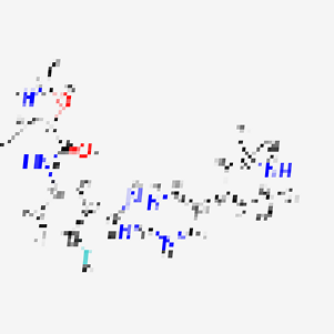 Cc1nc(C)c(C(=O)Nc2ccc(F)c(-c3nc4ncc(C5=CC(C)(C)NC(C)(C)C5)cn4n3)c2)o1